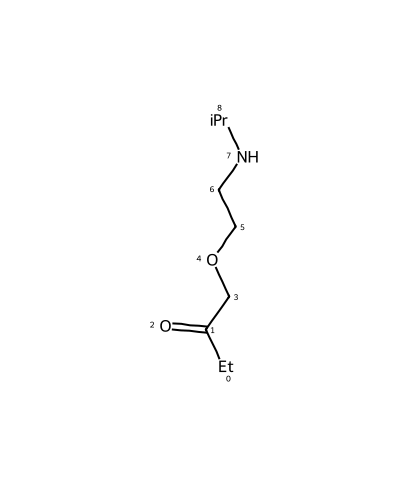 CCC(=O)COCCNC(C)C